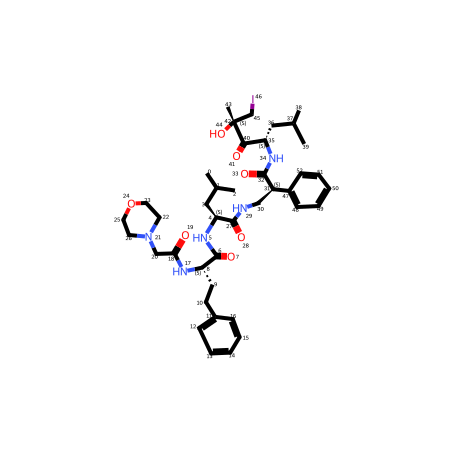 CC(C)C[C@H](NC(=O)[C@H](CCc1ccccc1)NC(=O)CN1CCOCC1)C(=O)NC[C@@H](C(=O)N[C@@H](CC(C)C)C(=O)[C@](C)(O)CI)c1ccccc1